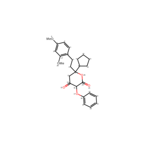 COc1ccc(CCC2(C3CCCC3)CC(=O)C(Oc3ccccc3)C(=O)O2)c(OC)c1